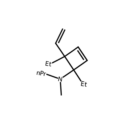 C=CC1(CC)C=CC1(CC)N(C)CCC